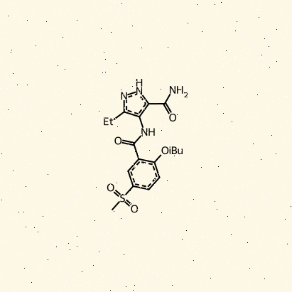 CCc1n[nH]c(C(N)=O)c1NC(=O)c1cc(S(C)(=O)=O)ccc1OCC(C)C